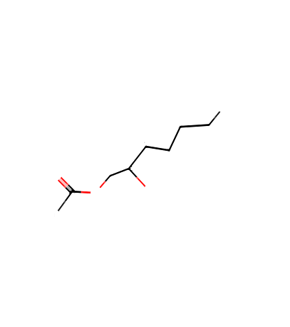 CCCCCCCCCCCCC(O)COC(=O)C(C)C